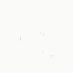 CC1Cc2cc(F)ccc2NC1c1ccccc1